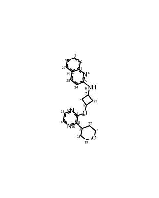 c1ccc2nc(NC3CC(Oc4nccnc4C4CCOCC4)C3)ccc2c1